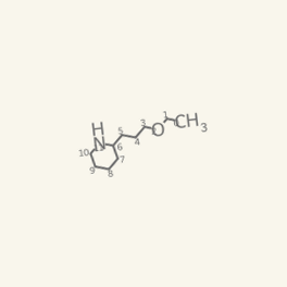 CCOCCCC1CCCCN1